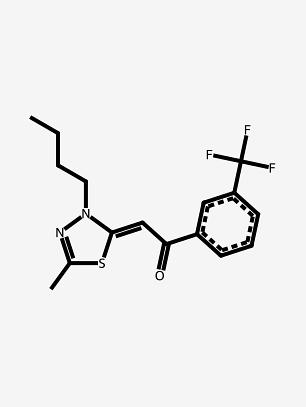 CCCCN1N=C(C)SC1=CC(=O)c1cccc(C(F)(F)F)c1